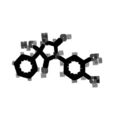 CC1(c2ccccc2)NC(=O)N(c2ccc(C#N)c(C(F)(F)F)c2)C1=O